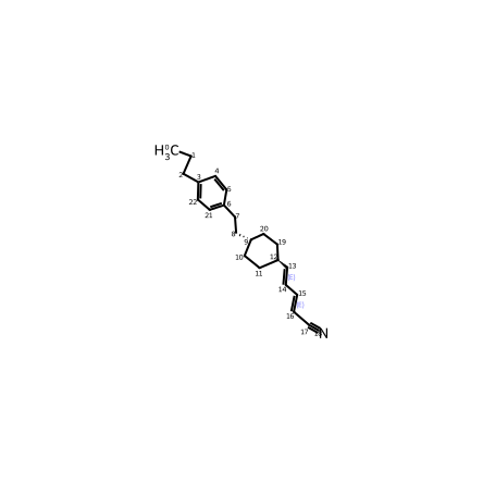 CCCc1ccc(CC[C@H]2CC[C@H](/C=C/C=C/C#N)CC2)cc1